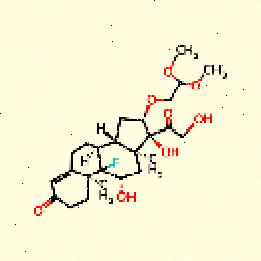 COC(CO[C@@H]1C[C@H]2[C@@H]3CCC4=CC(=O)CC[C@]4(C)C3(F)[C@@H](O)C[C@]2(C)[C@@]1(O)C(=O)CO)OC